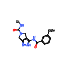 CCNC(=O)N1Cc2n[nH]c(NC(=O)c3cccc(OC)c3)c2C1